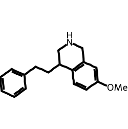 COc1ccc2c(c1)CNCC2CCc1ccccc1